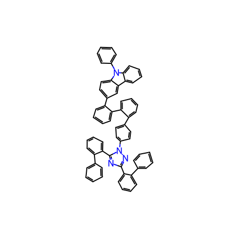 c1ccc(-c2ccccc2-c2nc(-c3ccccc3-c3ccccc3)n(-c3ccc(-c4ccccc4-c4ccccc4-c4ccc5c(c4)c4ccccc4n5-c4ccccc4)cc3)n2)cc1